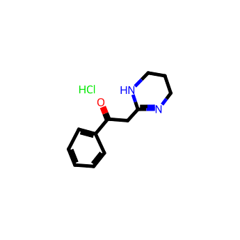 Cl.O=C(CC1=NCCCN1)c1ccccc1